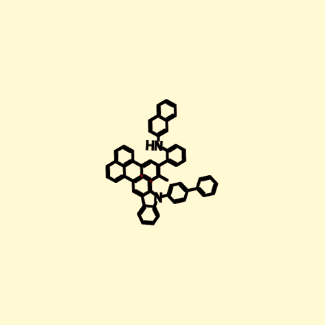 Cc1ccc(-c2cccc3cccc(-c4ccc5c(c4)c4ccccc4n5-c4ccc(-c5ccccc5)cc4)c23)cc1-c1ccccc1Nc1ccc2ccccc2c1